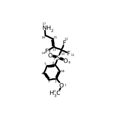 COc1cccc(S(=O)(=O)C(F)(F)/C(F)=C/CN)c1